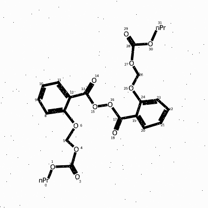 CCCOC(=O)OCOc1ccccc1C(=O)OOC(=O)c1ccccc1OCOC(=O)OCCC